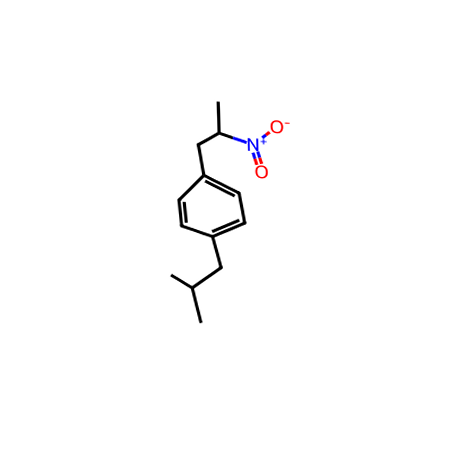 CC(C)Cc1ccc(CC(C)[N+](=O)[O-])cc1